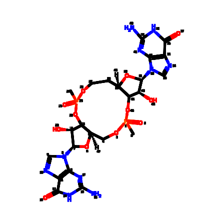 CP1(=O)OC[C@H]2O[C@@H](n3cnc4c(=O)[nH]c(N)nc43)[C@@H](O)C2OP(C)(=O)OCC[C@H]2O[C@@H](n3cnc4c(=O)[nH]c(N)nc43)[C@@H](O)C2O1